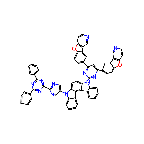 c1ccc(-c2nc(-c3ccccc3)nc(-c3ncc(-n4c5ccccc5c5c6c7ccccc7n(-c7nc(-c8ccc9oc%10ccncc%10c9c8)cc(-c8ccc9oc%10ccncc%10c9c8)n7)c6ccc54)cn3)n2)cc1